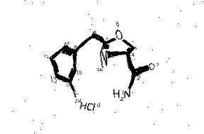 Cl.NC(=O)c1coc(Cc2cccc(F)c2)n1